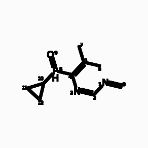 C=N/C=N\C(=C(C)C)[PH](=O)C1CC1